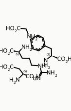 N=C(N)NCCC[C@H](N)C(=O)O.NCC(=O)O.N[C@@H](CC(=O)O)C(=O)O.N[C@@H](Cc1ccccc1)C(=O)O